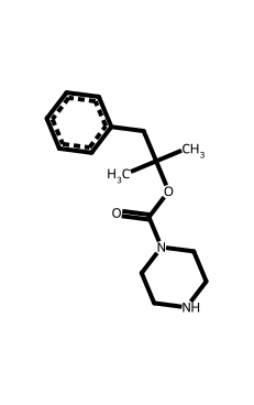 CC(C)(Cc1ccccc1)OC(=O)N1CCNCC1